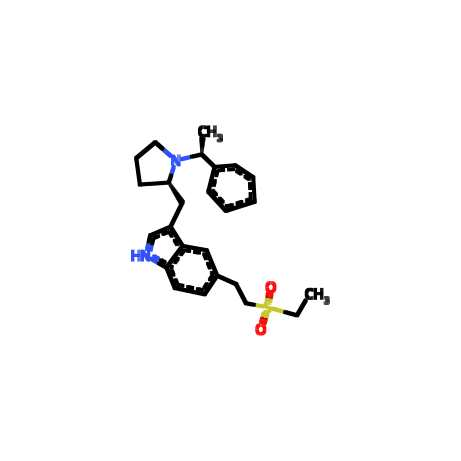 CCS(=O)(=O)CCc1ccc2[nH]cc(C[C@H]3CCCN3[C@@H](C)c3ccccc3)c2c1